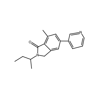 CCC(C)N1Cc2cc(-c3cccnc3)cc(C)c2C1=O